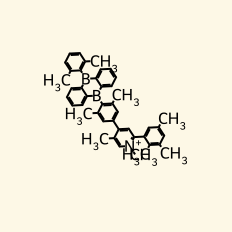 Cc1cc(C)c(C)c(-c2cc(-c3cc(C)c(B4c5ccccc5B(c5c(C)cccc5C)c5ccccc54)c(C)c3)c(C)c[n+]2C)c1